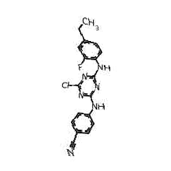 CCc1ccc(Nc2nc(Cl)nc(Nc3ccc(C#N)cc3)n2)c(F)c1